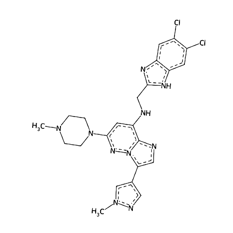 CN1CCN(c2cc(NCc3nc4cc(Cl)c(Cl)cc4[nH]3)c3ncc(-c4cnn(C)c4)n3n2)CC1